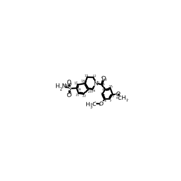 COc1cc(OC)cc(C(=O)N2CCc3cc(S(N)(=O)=O)ccc3C2)c1